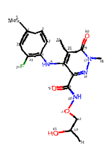 CSc1ccc(Nc2c(C(=O)NOCC(C)O)nn(C)c(=O)c2C)c(F)c1